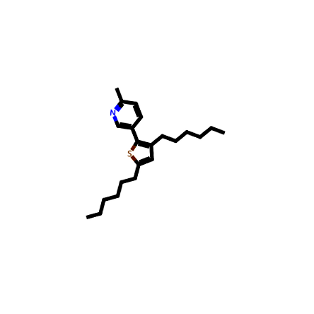 CCCCCCc1cc(CCCCCC)c(-c2ccc(C)nc2)s1